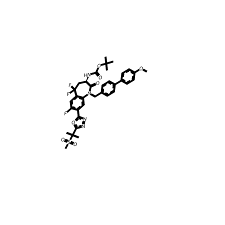 COc1ccc(-c2ccc(CN3C(=O)[C@H](NC(=O)OC(C)(C)C)CC(F)(F)c4cc(F)c(-c5nnc(C(C)(C)S(C)(=O)=O)o5)cc43)cc2)cc1